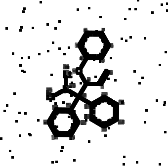 C=CC(Oc1ccccc1)C(c1ccccc1)(c1ccccc1)N(CC)CC